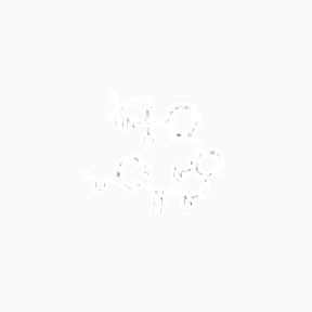 COc1cccc(Nc2ncc3ccc(-c4cccc(S(=O)(=O)NC(C)(C)C)c4)n3n2)c1